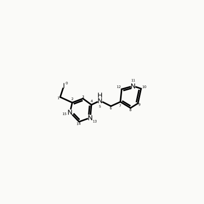 ICc1cc(NCc2cccnc2)ncn1